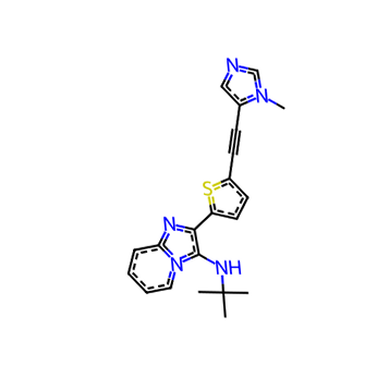 Cn1cncc1C#Cc1ccc(-c2nc3ccccn3c2NC(C)(C)C)s1